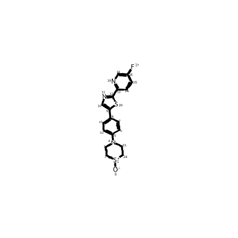 [O-][S+]1CCN(c2ccc(-c3cnc(-c4ccc(F)cn4)s3)cc2)CC1